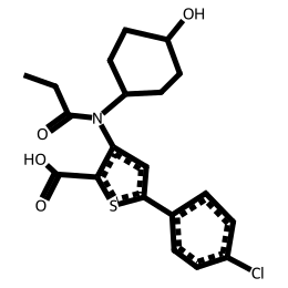 CCC(=O)N(c1cc(-c2ccc(Cl)cc2)sc1C(=O)O)C1CCC(O)CC1